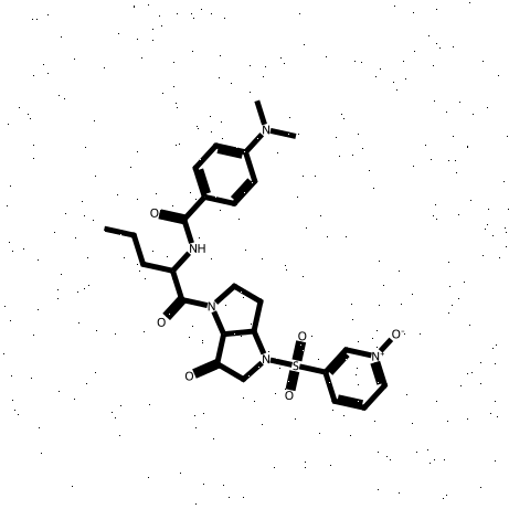 CCCC(NC(=O)c1ccc(N(C)C)cc1)C(=O)N1CCC2C1C(=O)CN2S(=O)(=O)c1ccc[n+]([O-])c1